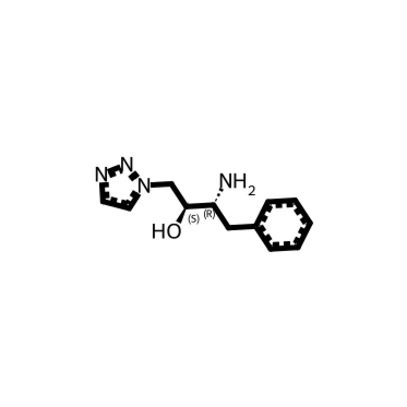 N[C@H](Cc1ccccc1)[C@@H](O)Cn1ccnn1